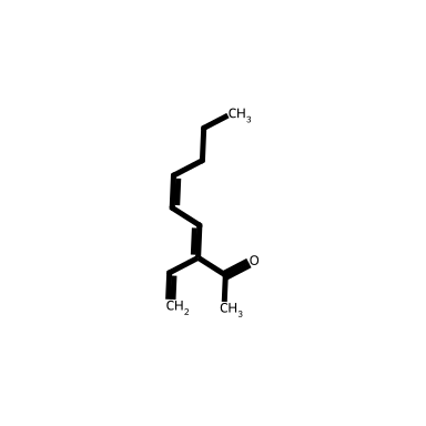 C=C/C(=C\C=C/CCC)C(C)=O